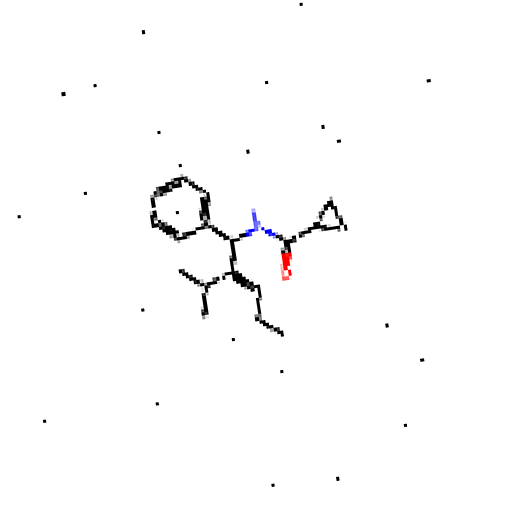 CC/C=C(\C(C)C)C(NC(=O)C1CC1)c1ccccc1